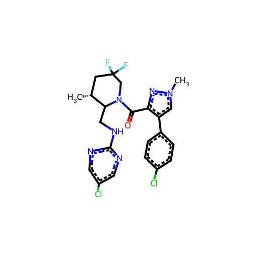 C[C@@H]1CC(F)(F)CN(C(=O)c2nn(C)cc2-c2ccc(Cl)cc2)C1CNc1ncc(Cl)cn1